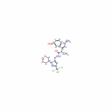 CC(C(=O)NCc1cc(C(F)(F)F)nn1C1CCOCC1)c1cn(C)c2ccc(O)cc12